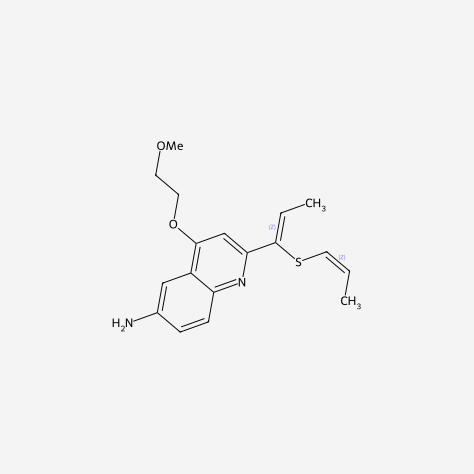 C/C=C\S/C(=C\C)c1cc(OCCOC)c2cc(N)ccc2n1